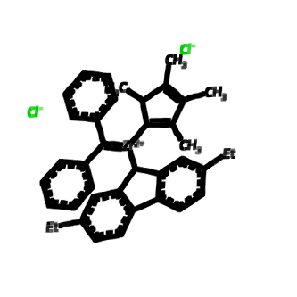 CCc1ccc2c(c1)[CH]([Zr+2]([C]1=C(C)C(C)=C(C)C1C)=[C](c1ccccc1)c1ccccc1)c1cc(CC)ccc1-2.[Cl-].[Cl-]